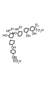 CC(=O)O.CC(=O)O.CCPc1ccccc1O.CCPc1ccccc1O.Oc1ccccc1.Oc1ccccc1.Oc1ccccc1.Oc1ccccc1